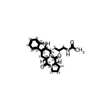 CC(=O)NCCC[C@H]1c2[nH]c3ccccc3c2C[C@H]2C(=O)N3CCC[C@H]3C(=O)N21